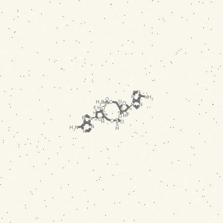 B[P@@]1(=O)OC[C@H]2O[C@@H](n3cnc4c(N)ncnc43)[C@H](F)[C@@H]2O[P@](=O)(S)OC[C@H]2O[C@@H](n3cnc4c(N)ncnc43)[C@H](F)[C@@H]2O1